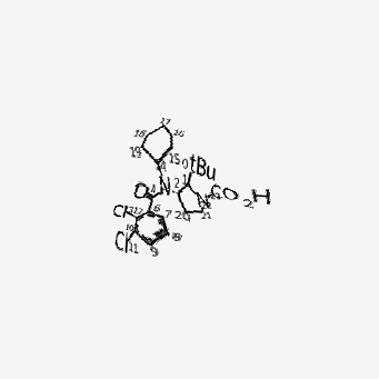 CC(C)(C)C1[C@@H](N(C(=O)c2cccc(Cl)c2Cl)C2CCCCC2)CCN1C(=O)O